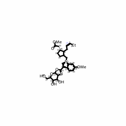 CC/C=C\CC1C(Cn2cc(C3=NC4C(O3)OC(CO)C(O)C4O)c3ccc(OC)cc32)CC[C@@H]1CC(=O)OC